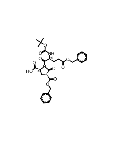 CC(C)(C)OC(=O)N[C@@H](CCC(=O)OCc1ccccc1)C(=O)N1C(=O)N(C(=O)OCc2ccccc2)C[C@H]1C(=O)O